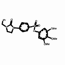 COc1cc(OS(=O)(=O)c2ccc(N3CCN(CC(C)C)C3=O)cc2)cc(OC)c1OC